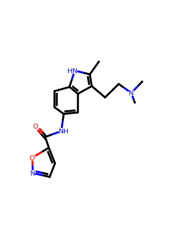 Cc1[nH]c2ccc(NC(=O)c3ccno3)cc2c1CCN(C)C